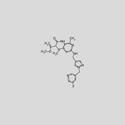 C=C(OC)C1C(=O)Nc2c(cc(NCc3cnn(Cc4cncc(F)c4)c3)nc2C)N1C